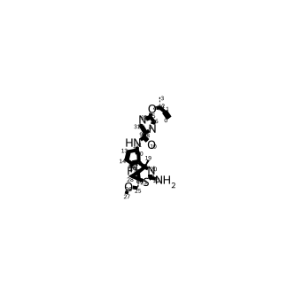 C#C[C@@H](C)Oc1cnc(C(=O)Nc2ccc(F)c([C@]3(C)N=C(N)S[C@@]4(COC)C[C@H]43)c2)cn1